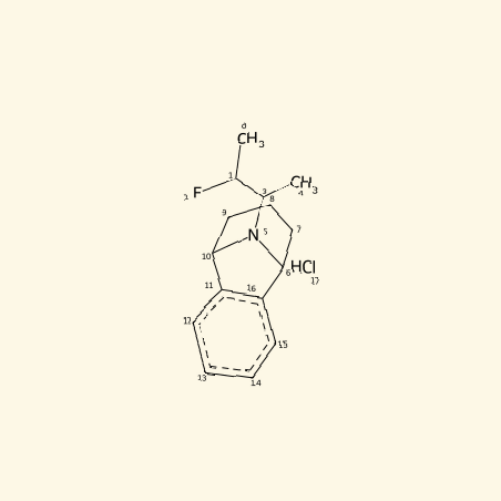 CC(F)C(C)N1C2CCCC1c1ccccc12.Cl